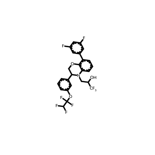 OC(CN1c2cccc(-c3cc(F)cc(F)c3)c2OCC1c1cccc(OC(F)(F)C(F)F)c1)C(F)(F)F